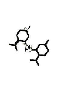 CC(C)=C1CC[C@@H](C)C[C@H]1O.CC1CCC(C(C)C)C(O)C1